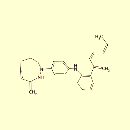 C=C1/C=C\CCCN(c2ccc(NC3=C(C(=C)/C=C\C=C/C)C=CCC3)cc2)N1